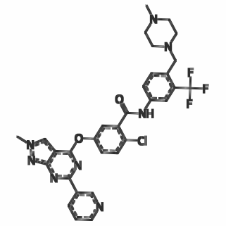 CN1CCN(Cc2ccc(NC(=O)c3cc(Oc4nc(-c5cccnc5)nc5nn(C)cc45)ccc3Cl)cc2C(F)(F)F)CC1